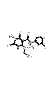 CCNc1[nH]c(=O)n(O)c(=O)c1C(=O)N(C)c1cccc(F)c1